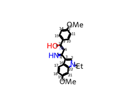 CCn1cc(C(=N)/C=C(\O)c2ccc(OC)cc2)c2ccc(OC)cc21